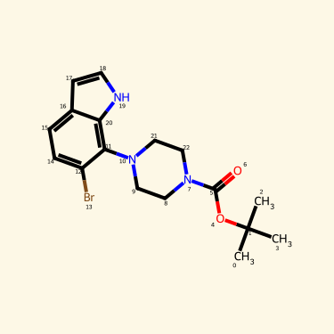 CC(C)(C)OC(=O)N1CCN(c2c(Br)ccc3cc[nH]c23)CC1